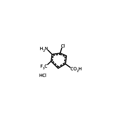 Cl.Nc1c(Cl)cc(C(=O)O)cc1C(F)(F)F